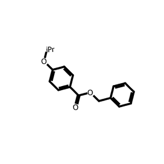 CC(C)Oc1ccc(C(=O)OCc2ccccc2)cc1